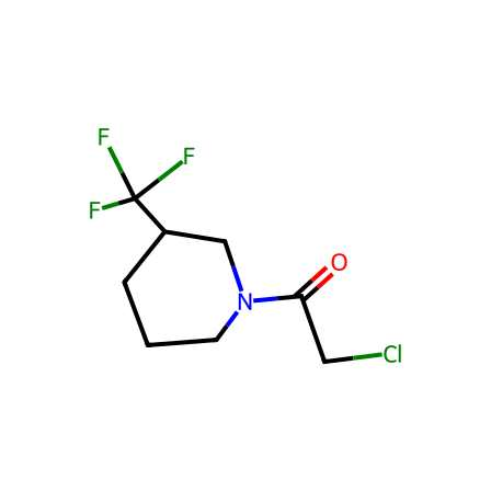 O=C(CCl)N1CCCC(C(F)(F)F)C1